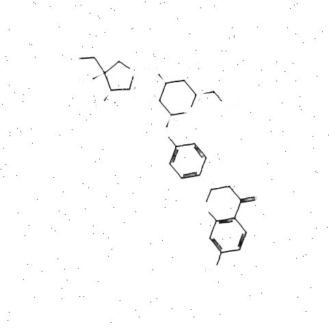 O=C1C[C@@H](c2ccc(O[C@@H]3O[C@H](CO)[C@@H](O)[C@H](O)[C@H]3O[C@H]3OC[C@@](O)(CO)[C@@H]3O)cc2)Oc2cc(O)ccc21